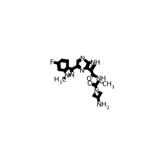 C[C@@H](NC(=O)c1c[nH]c2ncc(-c3nn(C)c4cc(F)ccc34)nc12)C(=O)N1CC(N)C1